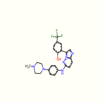 CN1CCN(c2ccc(Nc3ccc4ncc(-c5cc(C(F)(F)F)ccc5O)n4n3)cc2)CC1